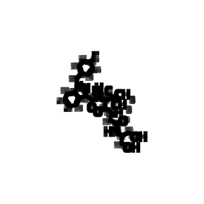 CC(C)(C)[C@H](NC(=O)c1nn(Cc2ccc(F)cc2)c2ccccc12)C(=O)NCC(=O)NC(CO)CO